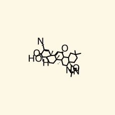 Cc1noc([C@]23CCC(C)(C)CC2C2C(=O)C=C4[C@@]5(C)C=C(C#N)C(=O)[C@@](C)(O)[C@@H]5CC[C@@]4(C)[C@]2(C)CC3)n1